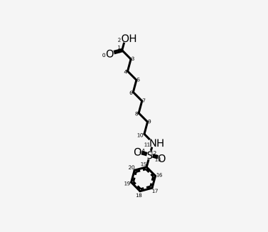 O=C(O)CCCCCCCCNS(=O)(=O)c1ccccc1